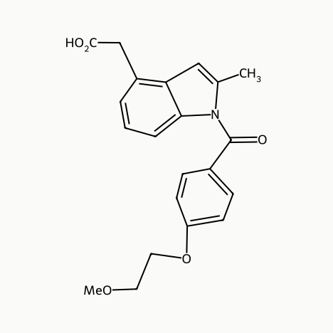 COCCOc1ccc(C(=O)n2c(C)cc3c(CC(=O)O)cccc32)cc1